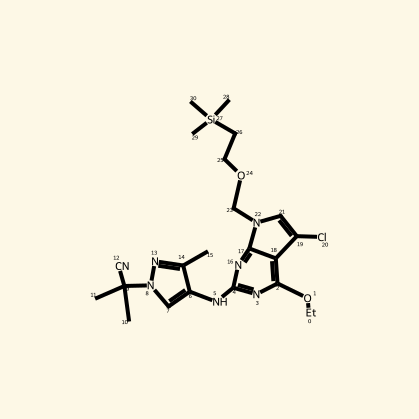 CCOc1nc(Nc2cn(C(C)(C)C#N)nc2C)nc2c1c(Cl)cn2COCC[Si](C)(C)C